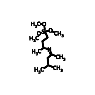 CO[Si](CCC(C)N=C(C)CC(C)C)(OC)OC